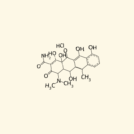 CC1c2cccc(O)c2C(O)=C2C(=O)C3(O)C(O)=C(C(N)=O)C(=O)C(N(C)C)C3C(O)C21.Cl